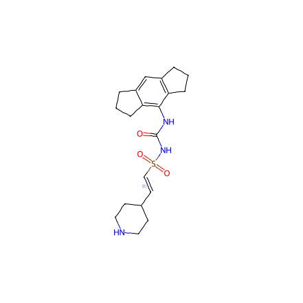 O=C(Nc1c2c(cc3c1CCC3)CCC2)NS(=O)(=O)/C=C/C1CCNCC1